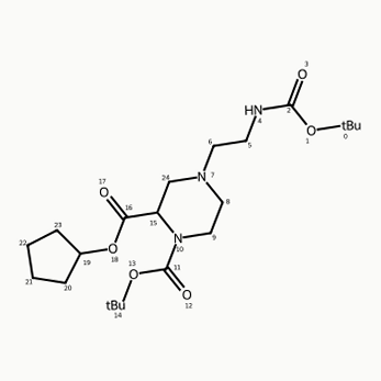 CC(C)(C)OC(=O)NCCN1CCN(C(=O)OC(C)(C)C)C(C(=O)OC2CCCC2)C1